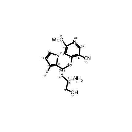 COc1cc(S[C@H](C[C@H](N)CO)c2sccc2F)c(C#N)cn1